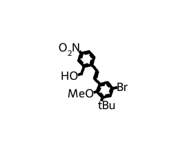 COc1c(C=Cc2ccc([N+](=O)[O-])cc2CO)cc(Br)cc1C(C)(C)C